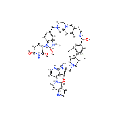 Cc1cc(C(=O)N2CCC(CN3CCN(Cc4ccc5c(c4)n(C)c(=O)n5[C@@H]4CCC(=O)NC4=O)C[C@@H]3C)CC2)cc(F)c1C1=CCN(Cc2cc3c(-n4ccc5c(c4=O)CCN5)ccnc3n2C)CC1